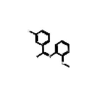 COc1ccccc1/N=C(/C)c1cccc(Cl)c1